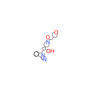 O=C(CC1CCOCC1)N1CCC2(CC1)CC(C1c3ccccc3-c3cncn31)C2O